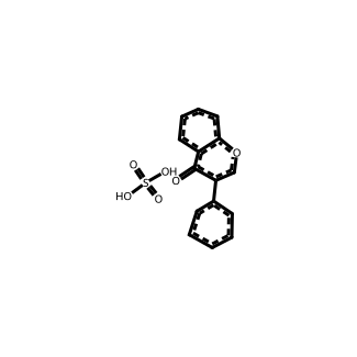 O=S(=O)(O)O.O=c1c(-c2ccccc2)coc2ccccc12